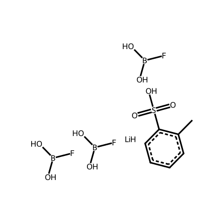 Cc1ccccc1S(=O)(=O)O.OB(O)F.OB(O)F.OB(O)F.[LiH]